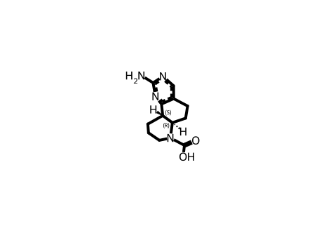 Nc1ncc2c(n1)[C@H]1CCCN(C(=O)O)[C@@H]1CC2